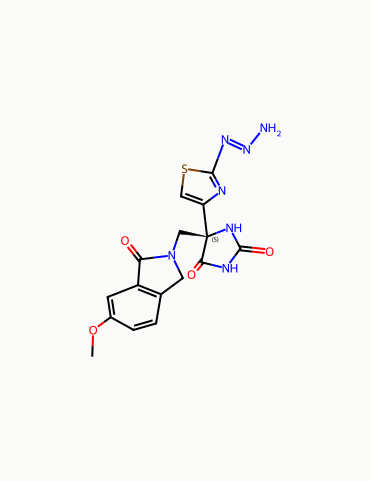 COc1ccc2c(c1)C(=O)N(C[C@@]1(c3csc(N=NN)n3)NC(=O)NC1=O)C2